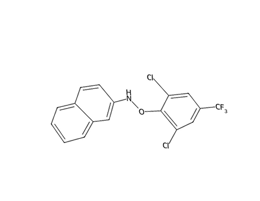 FC(F)(F)c1cc(Cl)c(ONc2ccc3ccccc3c2)c(Cl)c1